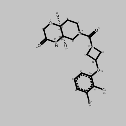 O=C1CO[C@H]2CCN(C(=O)N3CC(Oc4cccc(Br)c4Cl)C3)C[C@H]2N1